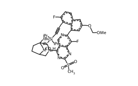 COCOc1cc(-c2ncc3c(N4CC5CCC(C(C)(C)C)(C4)N5C(=O)O)nc(S(C)(=O)=O)nc3c2F)c2c(C#C[Si](C(C)C)(C(C)C)C(C)C)c(F)ccc2c1